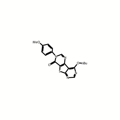 CCCCOc1ncnc2sc3c(=O)n(-c4ccc(OC)cc4)cnc3c12